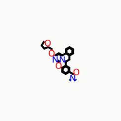 CN(C)C(=O)c1cccc(C2Cc3ccccc3-c3cc(OCC4CCCO4)nc(=O)n32)c1